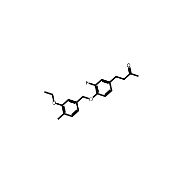 CCOc1cc(COc2ccc(CCC(C)=O)cc2F)ccc1C